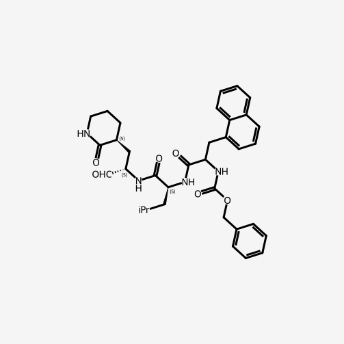 CC(C)C[C@H](NC(=O)C(Cc1cccc2ccccc12)NC(=O)OCc1ccccc1)C(=O)N[C@H](C=O)C[C@@H]1CCCNC1=O